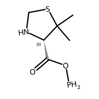 CC1(C)SCN[C@H]1C(=O)OP